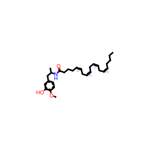 CCCC/C=C\C/C=C\C/C=C\C/C=C\CCCC(=O)NC(C)Cc1ccc(OC)c(O)c1